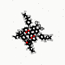 C=C(C)CC(C)(C)c1ccc(N(c2ccc(C(C)(C)CC(C)(C)C)cc2)c2ccc3c4c(N(c5ccc(C(C)(C)CC(C)(C)C)cc5)c5ccc(C(C)(C)CC(C)(C)C)cc5)cc5c6c(cc(N(c7ccc(C(C)(C)CC(C)(C)C)cc7)c7ccc(C(C)(C)CC(C)(C)C)cc7)c(c7cccc2c73)c64)C(=O)OC5=O)cc1